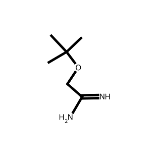 CC(C)(C)OCC(=N)N